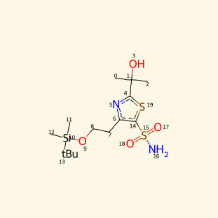 CC(C)(O)c1nc(CCO[Si](C)(C)C(C)(C)C)c(S(N)(=O)=O)s1